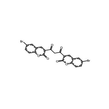 O=C(CC(=O)c1cc2cc(Br)ccc2oc1=O)c1cc2cc(Br)ccc2oc1=O